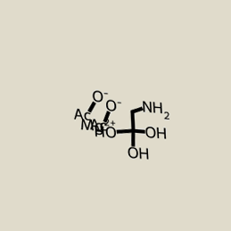 CC(=O)[O-].CC(=O)[O-].NCC(O)(O)O.[Mg+2]